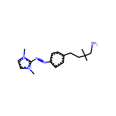 Cn1cc[n+](C)c1/N=N/c1ccc(CCC(C)(C)CN)cc1